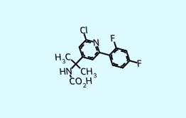 CC(C)(NC(=O)O)c1cc(Cl)nc(-c2ccc(F)cc2F)c1